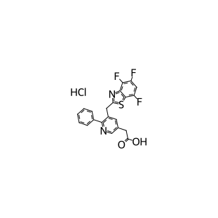 Cl.O=C(O)Cc1cnc(-c2ccccc2)c(Cc2nc3c(F)c(F)cc(F)c3s2)c1